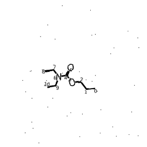 CCCOC(=O)N(CC)CC